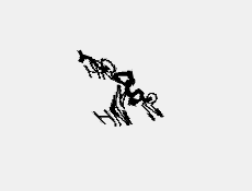 CCN(CC)C(=O)c1ccc([C@H](c2cccc(NC(=O)OCC(C)C)c2)N2CCNCC2)cc1